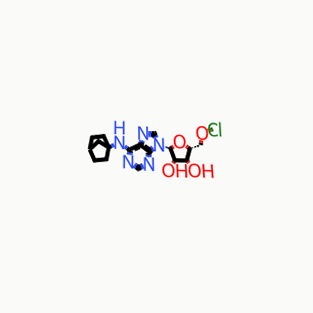 OC1C(O)[C@@H](COCl)O[C@H]1n1cnc2c(NC34CCC(CC3)C4)ncnc21